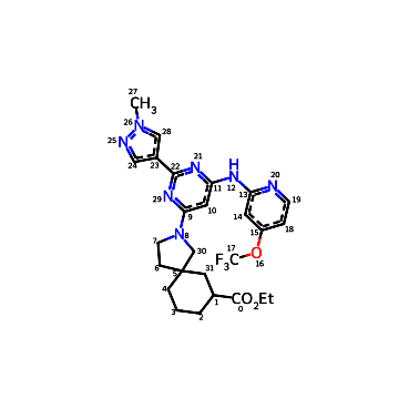 CCOC(=O)C1CCCC2(CCN(c3cc(Nc4cc(OC(F)(F)F)ccn4)nc(-c4cnn(C)c4)n3)C2)C1